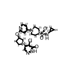 O=c1[nH]ncc(N2CCC(Oc3cc(N4CCN(S(=O)(=O)NC5CC5)CC4)ccn3)C2)c1Cl